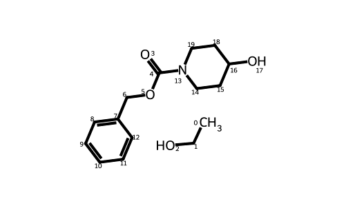 CCO.O=C(OCc1ccccc1)N1CCC(O)CC1